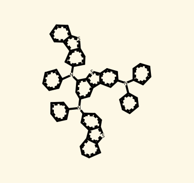 c1ccc(N(c2ccccc2)c2ccc3sc4c(N(c5ccccc5)c5ccc6sc7ccccc7c6c5)cc(N(c5ccccc5)c5ccc6sc7ccccc7c6c5)cc4c3c2)cc1